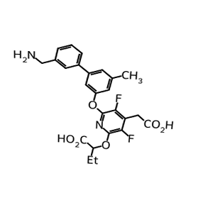 CCC(Oc1nc(Oc2cc(C)cc(-c3cccc(CN)c3)c2)c(F)c(CC(=O)O)c1F)C(=O)O